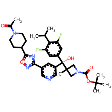 CC(=O)N1CCC(c2nc(-c3cncc([C@@](O)(c4cc(F)c(C(C)C)c(F)c4)C4(C)CN(C(=O)OC(C)(C)C)C4)c3)no2)CC1